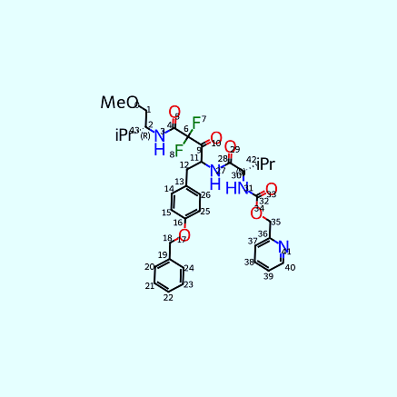 COC[C@H](NC(=O)C(F)(F)C(=O)C(Cc1ccc(OCc2ccccc2)cc1)NC(=O)[C@@H](NC(=O)OCc1ccccn1)C(C)C)C(C)C